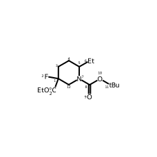 CCOC(=O)C1(F)CCC(CC)N(C(=O)OC(C)(C)C)C1